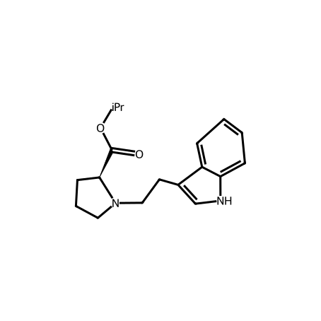 CC(C)OC(=O)[C@@H]1CCCN1CCc1c[nH]c2ccccc12